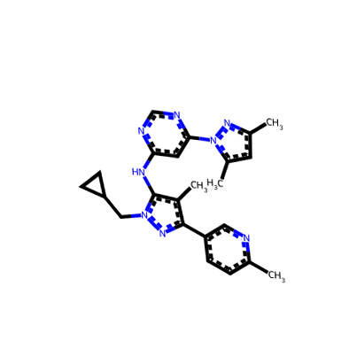 Cc1ccc(-c2nn(CC3CC3)c(Nc3cc(-n4nc(C)cc4C)ncn3)c2C)cn1